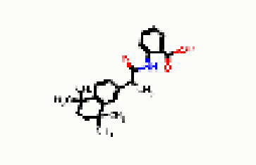 CC(C(=O)Nc1ccccc1C(=O)O)c1ccc2c(c1)C(C)(C)CCC2(C)C